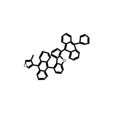 Cc1cocc1-c1c2ccccc2c(-c2cccc3oc4c(-c5c6ccccc6c(-c6ccccc6)c6ccccc56)cccc4c23)c2ccccc12